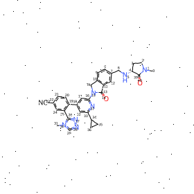 CN1CC[C@@H](NCc2ccc3c(c2)C(=O)N(c2cc(-c4ccc(C#N)cc4-c4nncn4C)cc(C4CC4)n2)C3)C1=O